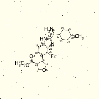 COC(=O)[C@@H]1COC[C@@H]1c1ccc2[nH]c([C@@H](N)C3CCC(C)CC3)nc2c1F